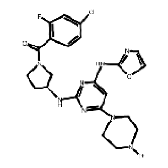 CCN1CCN(c2cc(Nc3ncco3)nc(N[C@H]3CCN(C(=O)c4ccc(Cl)cc4F)C3)n2)CC1